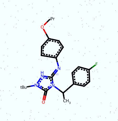 CC(C)Oc1ccc(/N=c2\[nH]n(C(C)(C)C)c(=O)n2C(C)c2ccc(F)cc2)cc1